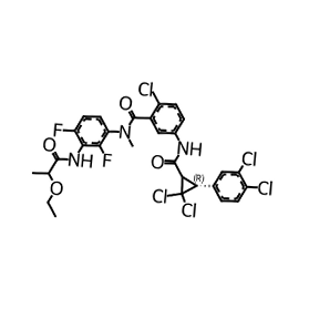 CCOC(C)C(=O)Nc1c(F)ccc(N(C)C(=O)c2cc(NC(=O)C3[C@H](c4ccc(Cl)c(Cl)c4)C3(Cl)Cl)ccc2Cl)c1F